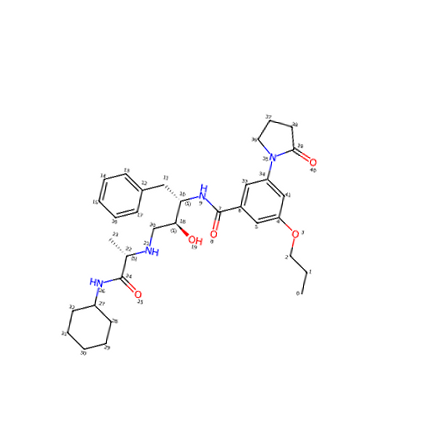 CCCOc1cc(C(=O)N[C@@H](Cc2ccccc2)[C@@H](O)CN[C@@H](C)C(=O)NC2CCCCC2)cc(N2CCCC2=O)c1